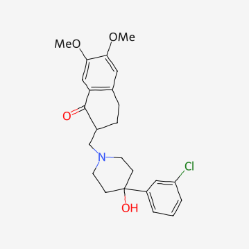 COc1cc2c(cc1OC)C(=O)C(CN1CCC(O)(c3cccc(Cl)c3)CC1)CC2